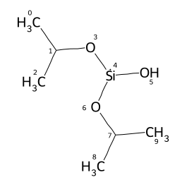 CC(C)O[Si](O)OC(C)C